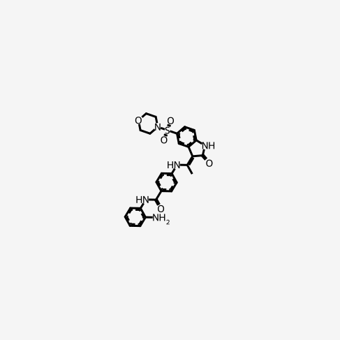 CC(Nc1ccc(C(=O)Nc2ccccc2N)cc1)=C1C(=O)Nc2ccc(S(=O)(=O)N3CCOCC3)cc21